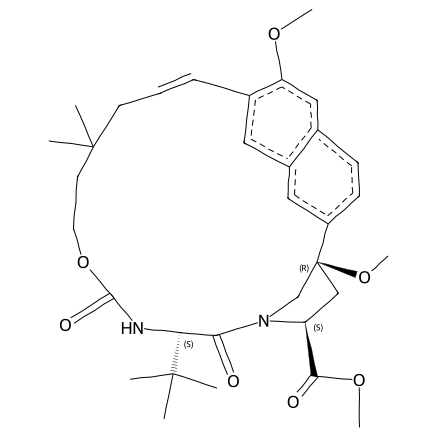 COC(=O)[C@@H]1C[C@]2(OC)CN1C(=O)[C@H](C(C)(C)C)NC(=O)OCCC(C)(C)CC=Cc1cc3cc2ccc3cc1OC